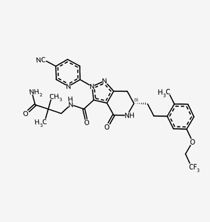 Cc1ccc(OCC(F)(F)F)cc1CC[C@H]1Cc2nn(-c3ccc(C#N)cn3)c(C(=O)NCC(C)(C)C(N)=O)c2C(=O)N1